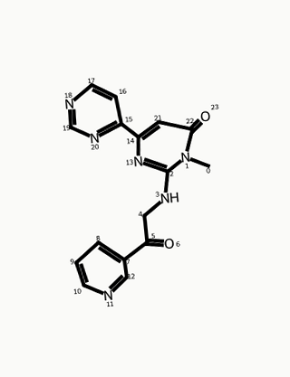 Cn1c(NCC(=O)c2cccnc2)nc(-c2ccncn2)cc1=O